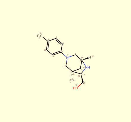 CC(C)(C)[C@@]12C[C@H](CN(c3ccc(C(F)(F)F)cc3)C1)N[C@H]2CO